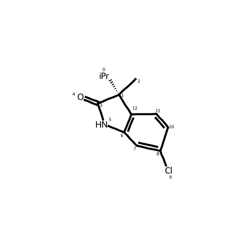 CC(C)[C@@]1(C)C(=O)Nc2cc(Cl)ccc21